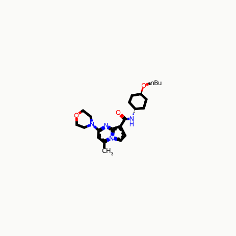 CCCCO[C@H]1CC[C@H](NC(=O)c2ccn3c(C)cc(N4CCOCC4)nc23)CC1